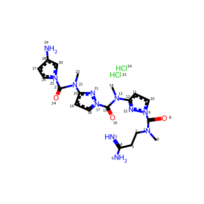 CN(CCC(=N)N)C(=O)n1ccc(N(C)C(=O)n2ccc(N(C)C(=O)n3ccc(N)c3)n2)n1.Cl.Cl